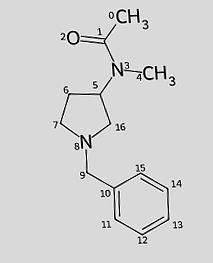 CC(=O)N(C)C1CCN(Cc2ccccc2)C1